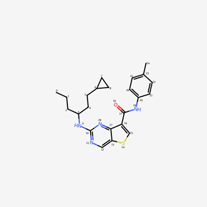 CCCC(CCC1CC1)Nc1ncc2scc(C(=O)Nc3ccc(C)cc3)c2n1